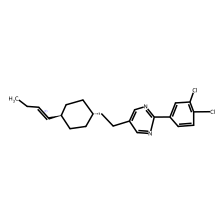 CC/C=C/[C@H]1CC[C@H](CCc2cnc(-c3ccc(Cl)c(Cl)c3)nc2)CC1